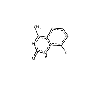 Cc1nc(=O)[nH]c2c(F)cccc12